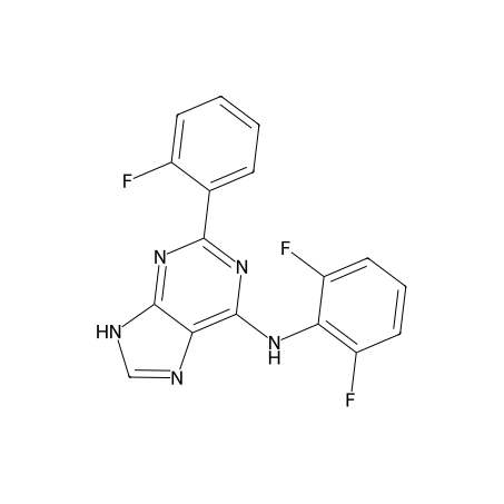 Fc1ccccc1-c1nc(Nc2c(F)cccc2F)c2nc[nH]c2n1